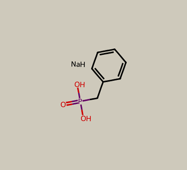 O=P(O)(O)Cc1ccccc1.[NaH]